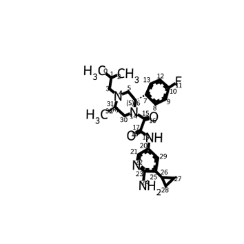 CC(C)CN1C[C@H](c2ccc(F)cc2)N(C(=O)C(=O)Nc2cnc(N)c(C3CC3)c2)C[C@H]1C